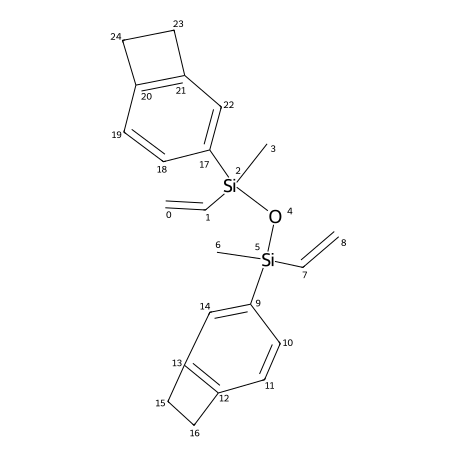 C=C[Si](C)(O[Si](C)(C=C)c1ccc2c(c1)CC2)c1ccc2c(c1)CC2